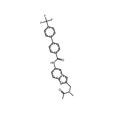 CC(=O)N(C)Cc1cn2cc(NC(=O)c3ccc(-c4ccc(C(F)(F)F)cc4)cc3)ccc2n1